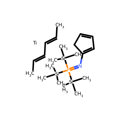 CC=CC=CC.C[Si](C)(C)P(=NC1=CC=CC1)([Si](C)(C)C)[Si](C)(C)C.[Ti]